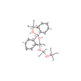 C[Si](C)(C)O[Si](C)(C)O[Si](C)(C)O[Si](O[Si](C)(C)C)(c1ccccc1)c1ccccc1